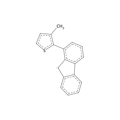 Cc1ccsc1-c1cccc2c1[CH]c1ccccc1-2